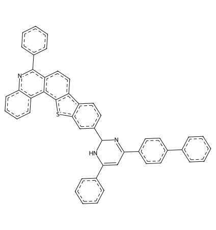 C1=C(c2ccccc2)NC(c2ccc3c(c2)sc2c3ccc3c(-c4ccccc4)nc4ccccc4c32)N=C1c1ccc(-c2ccccc2)cc1